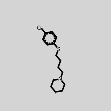 Clc1ccc(SCCCCN2CC[CH]CC2)cc1